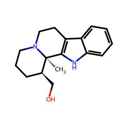 C[C@@]12c3[nH]c4ccccc4c3CCN1CCC[C@@H]2CO